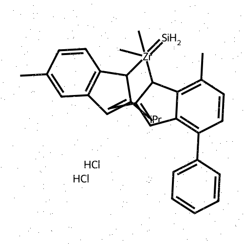 CC1=Cc2c(-c3ccccc3)ccc(C)c2[CH]1[Zr]([CH3])([CH3])(=[SiH2])[CH]1C(C(C)C)=Cc2cc(C)ccc21.Cl.Cl